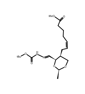 COC(=O)CCC/C=C\C[C@H]1CO[C@@H](C)O[C@H]1/C=N/NC(=O)OC(C)(C)C